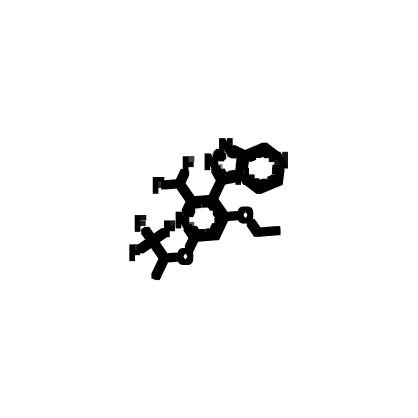 CCOc1cc(OC(C)C(F)(F)F)nc(C(F)F)c1-c1nnc2cnccn12